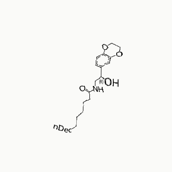 CCCCCCCCCCCCCCCC(=O)NC[C@H](O)c1ccc2c(c1)OCCO2